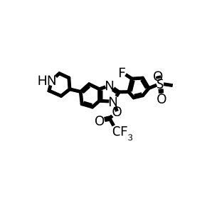 CS(=O)(=O)c1ccc(-c2nc3cc(C4CCNCC4)ccc3n2OC(=O)C(F)(F)F)c(F)c1